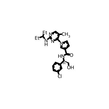 CCC(CC)Nc1ncc(C)c(-n2ccc(C(=O)N[C@@H](CO)c3cccc(Cl)c3)c2)n1